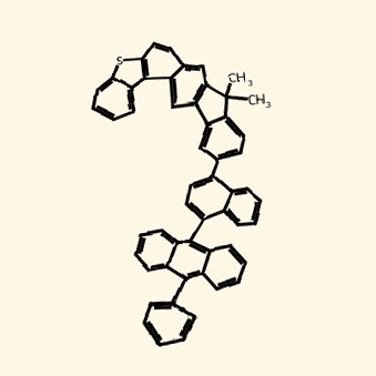 CC1(C)c2ccc(-c3ccc(-c4c5ccccc5c(-c5ccccc5)c5ccccc45)c4ccccc34)cc2-c2cc3c(ccc4sc5ccccc5c43)cc21